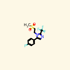 CS(=O)(=O)CCn1c(-c2ccc(F)cc2)cnc1C(F)(F)F